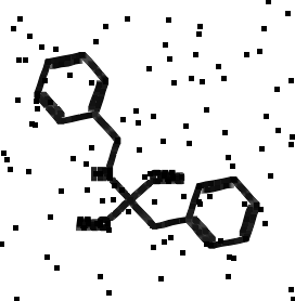 COC(Cc1ccccc1)(NCc1ccccc1)OC